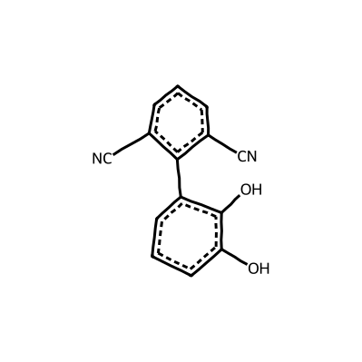 N#Cc1cccc(C#N)c1-c1cccc(O)c1O